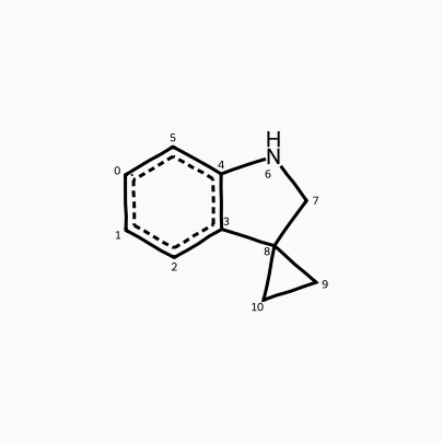 [c]1ccc2c(c1)NCC21CC1